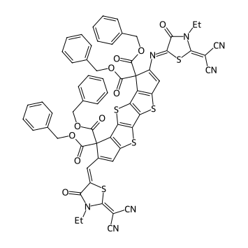 CCN1C(=O)/C(=N/C2=Cc3sc4c(sc5c6c(sc54)C=C(/C=c4\sc(=C(C#N)C#N)n(CC)c4=O)C6(C(=O)OCc4ccccc4)C(=O)OCc4ccccc4)c3C2(C(=O)OCc2ccccc2)C(=O)OCc2ccccc2)SC1=C(C#N)C#N